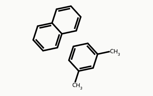 Cc1cccc(C)c1.c1ccc2ccccc2c1